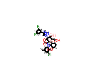 CO[C@@H]1[C@@H](n2cc(-c3cc(F)cc(F)c3)nn2)[C@@H](O)[C@@H](CO)O[C@H]1C(=O)N(c1cc(C)cc(Cl)c1)[C@H]1CCCC[C@@H]1O